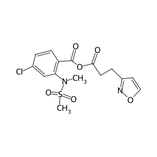 CN(c1cc(Cl)ccc1C(=O)OC(=O)CCc1ccon1)S(C)(=O)=O